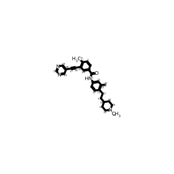 Cc1ccc(C(=O)Nc2ccc(CCC3CCN(C)CC3)c(F)c2)cc1C#Cc1cncnc1